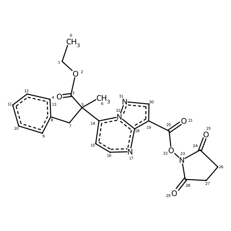 CCOC(=O)C(C)(Cc1ccccc1)c1ccnc2c(C(=O)ON3C(=O)CCC3=O)cnn12